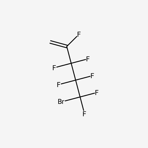 C=C(F)C(F)(F)C(F)(F)C(F)(F)Br